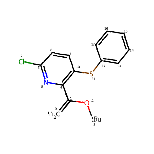 C=C(OC(C)(C)C)c1nc(Cl)ccc1Sc1ccccc1